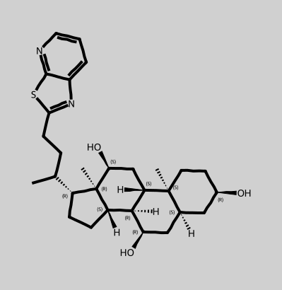 CC(CCc1nc2cccnc2s1)[C@H]1CC[C@H]2[C@@H]3[C@H](O)C[C@@H]4C[C@H](O)CC[C@]4(C)[C@H]3C[C@H](O)[C@]12C